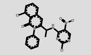 CC(Nc1nc(Cl)ncc1[N+](=O)[O-])c1cc2cccc(Cl)c2c(=O)n1-c1ccccc1